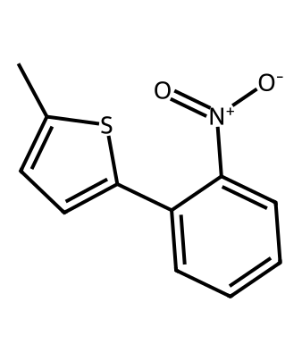 Cc1ccc(-c2ccccc2[N+](=O)[O-])s1